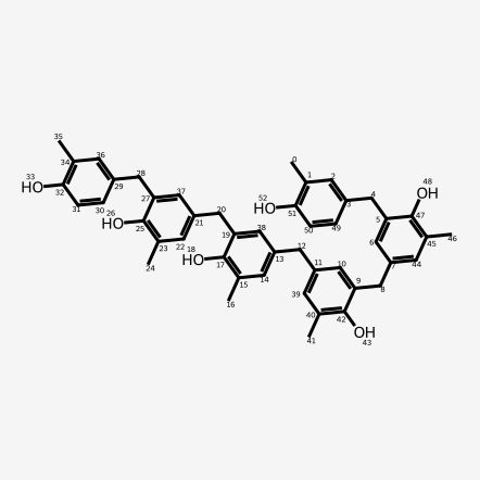 Cc1cc(Cc2cc(Cc3cc(Cc4cc(C)c(O)c(Cc5cc(C)c(O)c(Cc6ccc(O)c(C)c6)c5)c4)cc(C)c3O)cc(C)c2O)ccc1O